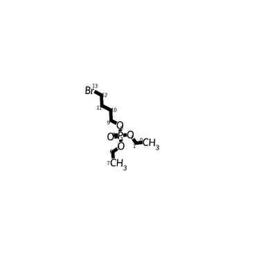 CCOP(=O)(OCC)OCCCCBr